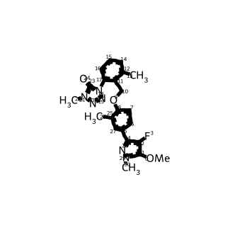 COc1c(F)c(-c2ccc(OCc3c(C)cccc3-n3nnn(C)c3=O)c(C)c2)nn1C